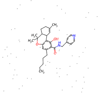 CCCCCc1cc2c(c(O)c1C(=O)NCc1ccncc1)C1C=C(C)CCC1C(C)(C)O2